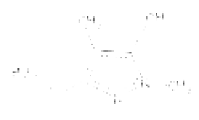 CCc1nn(C)c(O)c1C